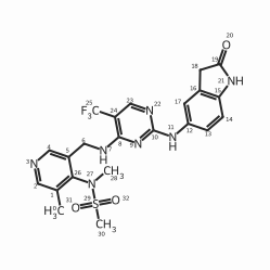 Cc1cncc(CNc2nc(Nc3ccc4c(c3)CC(=O)N4)ncc2C(F)(F)F)c1N(C)S(C)(=O)=O